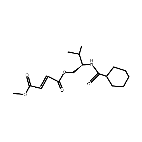 COC(=O)/C=C/C(=O)OC[C@H](NC(=O)C1CCCCC1)C(C)C